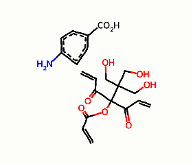 C=CC(=O)OC(C(=O)C=C)(C(=O)C=C)C(CO)(CO)CO.Nc1ccc(C(=O)O)cc1